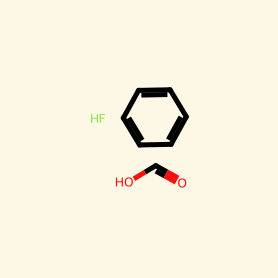 F.O=CO.c1ccccc1